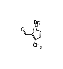 Cc1ccoc1C=O.[Br-].[Li+]